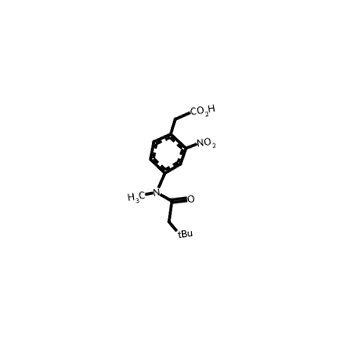 CN(C(=O)CC(C)(C)C)c1ccc(CC(=O)O)c([N+](=O)[O-])c1